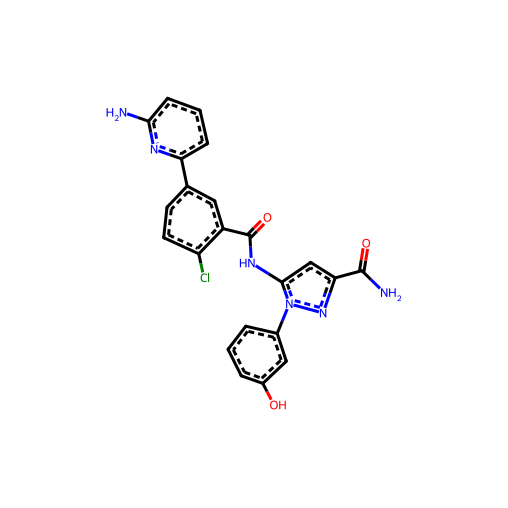 NC(=O)c1cc(NC(=O)c2cc(-c3cccc(N)n3)ccc2Cl)n(-c2cccc(O)c2)n1